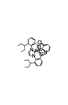 CCC(CC)c1cccc(C(CC)CC)c1N1C=CN(c2c(C(CC)CC)cccc2C(CC)CC)[CH]1[Pd-2]([Cl])([Cl])[c]1ncccc1Cl